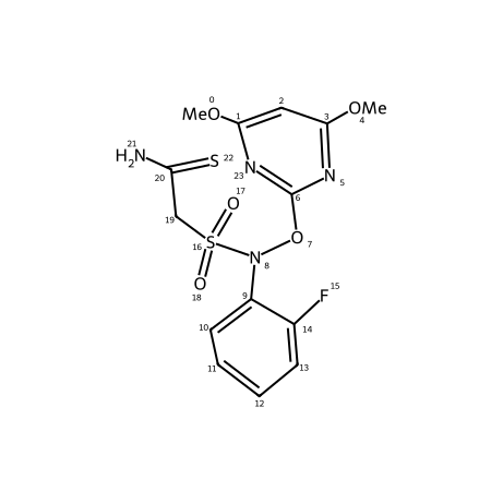 COc1cc(OC)nc(ON(c2ccccc2F)S(=O)(=O)CC(N)=S)n1